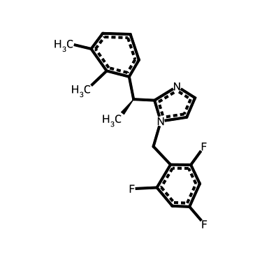 Cc1cccc([C@H](C)c2nccn2Cc2c(F)cc(F)cc2F)c1C